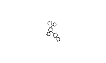 COc1ccc(-c2cc(C(=O)Cl)ccc2OC)cc1